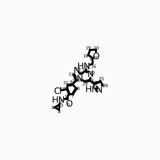 O=C(NC1CC1)c1ccc(-c2cnc3c(NCC4CCCO4)nc(-c4ccn[nH]4)cn23)cc1Cl